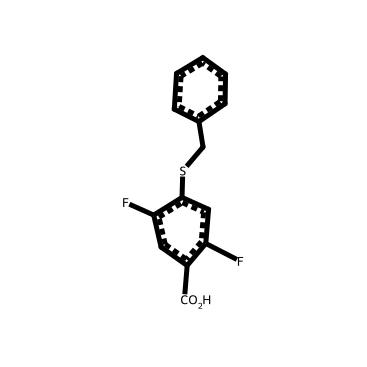 O=C(O)c1cc(F)c(SCc2ccccc2)cc1F